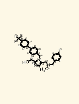 CN(Cc1ccc(F)cc1)Cc1cnc(CO)n1Cc1ccc(-c2ccc(C(F)(F)F)cc2)cc1